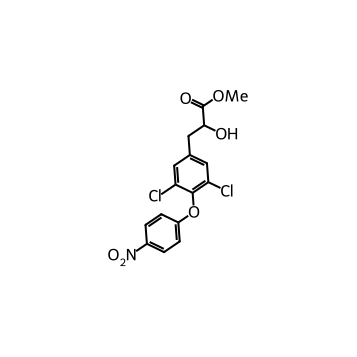 COC(=O)C(O)Cc1cc(Cl)c(Oc2ccc([N+](=O)[O-])cc2)c(Cl)c1